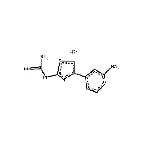 Br.N=C(N)Nc1nc(-c2cccc([N+](=O)[O-])c2)cs1